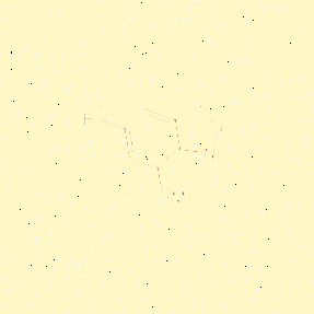 COc1cc(Br)cc2c[c][nH]c12